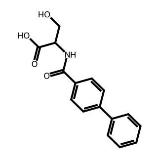 O=C(NC(CO)C(=O)O)c1ccc(-c2ccccc2)cc1